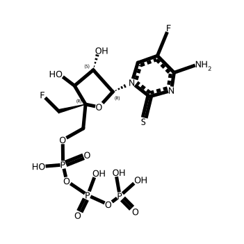 Nc1nc(=S)n([C@@H]2O[C@](CF)(COP(=O)(O)OP(=O)(O)OP(=O)(O)O)C(O)[C@@H]2O)cc1F